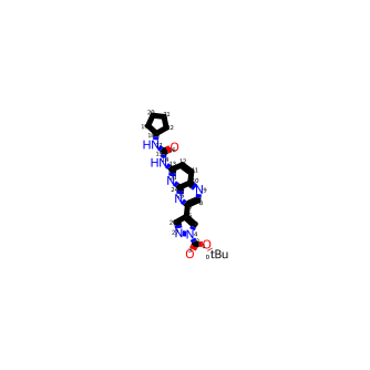 CC(C)(C)OC(=O)n1cc(-c2cnc3ccc(NC(=O)NC4CCCC4)nc3n2)cn1